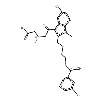 C[C@H](CC(=O)O)CC(=O)c1c(CCCCC[C@@H](O)c2cccc(Cl)c2)n(C)c2ncc(Cl)cc12